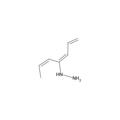 C=C/C=C(\C=C/C)NN